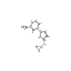 Nc1ccnc(-c2cnn(CC3CC3)c2)n1